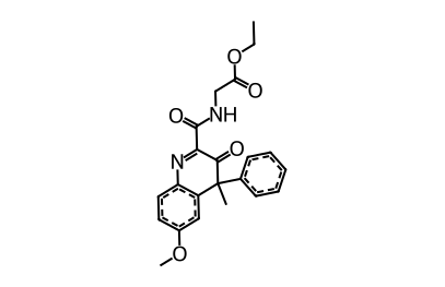 CCOC(=O)CNC(=O)C1=Nc2ccc(OC)cc2C(C)(c2ccccc2)C1=O